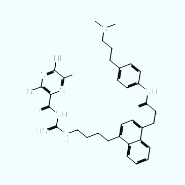 C[C@H](Cc1ccc(CCCCNC(=N)NC(=O)c2nc(Cl)c(N)nc2N)c2ccccc12)C(=O)Nc1ccc(CCCN(C)C)cc1